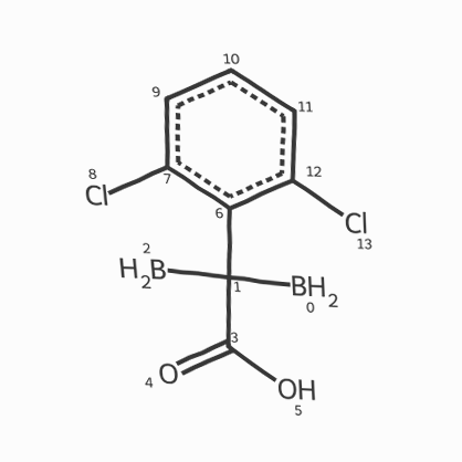 BC(B)(C(=O)O)c1c(Cl)cccc1Cl